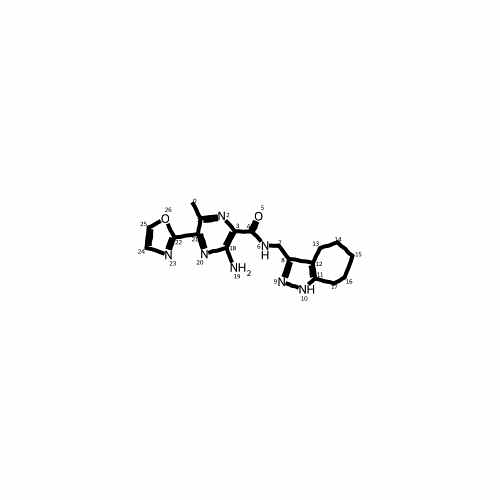 Cc1nc(C(=O)NCc2n[nH]c3c2CCCCC3)c(N)nc1-c1ncco1